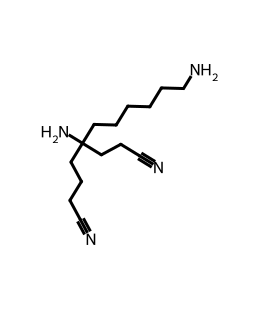 N#CCCCC(N)(CCC#N)CCCCCCN